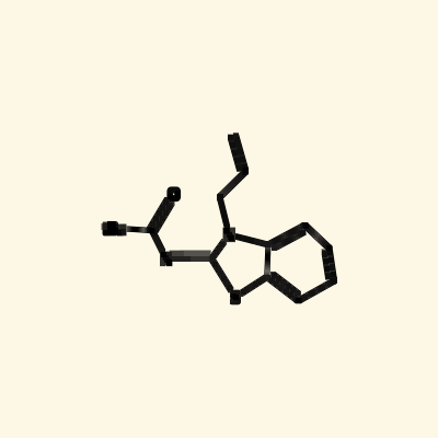 C=CCn1c(=NC(=O)C(C)(C)C)sc2ccccc21